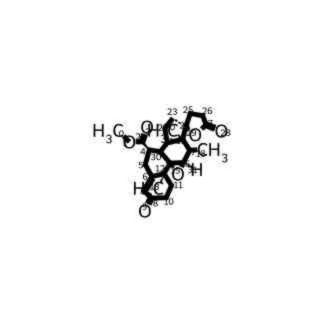 COC(=O)[C@@H]1CC2=CC(=O)CC[C@]2(C)[C@@]23O[C@@H]2C(C)[C@@]2(C)C(CC[C@@]24CCC(=O)O4)C13